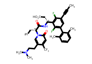 CC#Cc1cc(-c2c(C)cccc2C)c(F)c([C@@H](CC(=O)O)NC(=O)[C@@H](CC(C)C)n2cc(CCN(C)C)c(C(F)(F)F)cc2=O)c1F